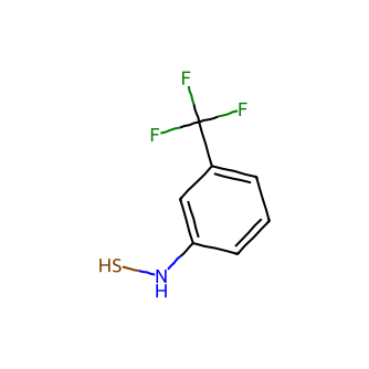 FC(F)(F)c1cccc(NS)c1